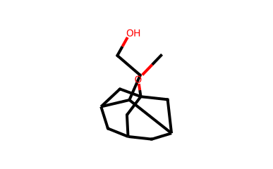 COC12CC3CC(C1)C(CCO)C(C3)C2